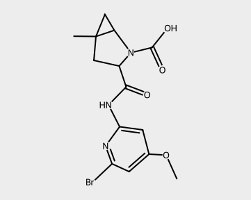 COc1cc(Br)nc(NC(=O)C2CC3(C)CC3N2C(=O)O)c1